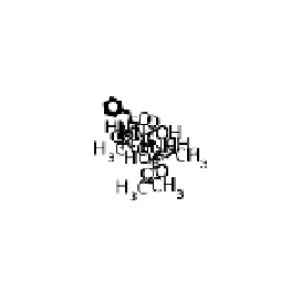 CC(C)C[C@H](NC(=O)[C@H](NC(=O)[C@H](Cc1ccccc1)NS(=O)(=O)N(C)C)C(=O)O)[C@@H](O)C(=O)OC(C)C